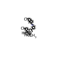 CC(C)(O)CCSC(CCc1ccc(Cl)cc1C(=O)O)c1cccc(/C=C/c2ccc3ccc(Cl)cc3n2)c1